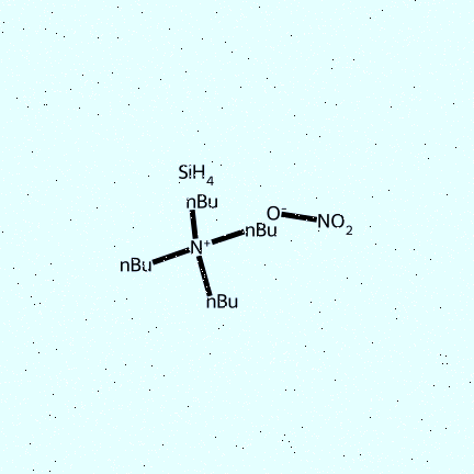 CCCC[N+](CCCC)(CCCC)CCCC.O=[N+]([O-])[O-].[SiH4]